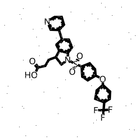 O=C(O)CCC1CN(S(=O)(=O)c2ccc(Oc3ccc(C(F)(F)F)cc3)cc2)c2ccc(-c3cccnc3)cc21